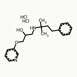 CC(C)(CCc1ccccc1)NCC(O)COc1cccnc1.Cl.Cl